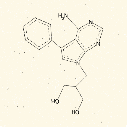 Nc1ncnc2c1c(-c1ccccc1)cn2CC(CO)CO